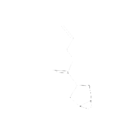 C=CCOC(=O)C1CC2OC2C1